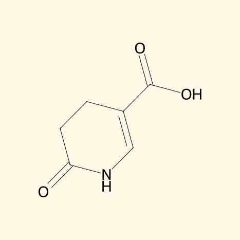 O=C1CCC(C(=O)O)=CN1